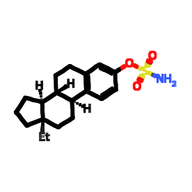 CC[C@@]12CCC[C@H]1[C@@H]1CCc3cc(OS(N)(=O)=O)ccc3[C@H]1CC2